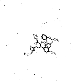 CCOC(=O)CC(CCc1cn(CC)cn1)c1ccc(C)c(CN2CC(C)Oc3ccccc3S2(O)O)c1